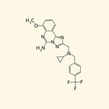 COc1cccc2c1nc(N)n1nc(CN(Cc3ccc(C(F)(F)F)cc3)C3CC3)nc21